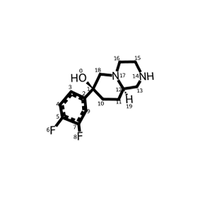 O[C@]1(c2ccc(F)c(F)c2)CC[C@@H]2CNCCN2C1